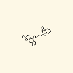 O=c1ccc2c(OCCCCOC3C=CC=CC3[N+](=O)[O-])c3ccoc3cc2o1